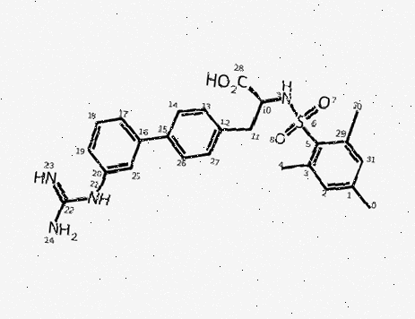 Cc1cc(C)c(S(=O)(=O)N[C@@H](Cc2ccc(-c3cccc(NC(=N)N)c3)cc2)C(=O)O)c(C)c1